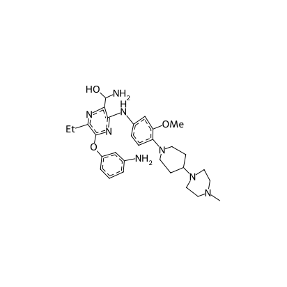 CCc1nc(C(N)O)c(Nc2ccc(N3CCC(N4CCN(C)CC4)CC3)c(OC)c2)nc1Oc1cccc(N)c1